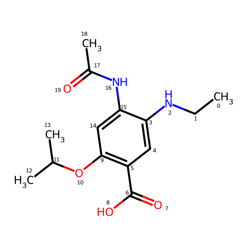 CCNc1cc(C(=O)O)c(OC(C)C)cc1NC(C)=O